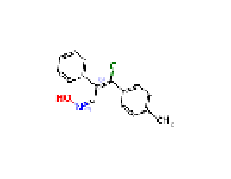 Cc1ccc(/C(Cl)=C(\C=N/O)c2ccccc2)cc1